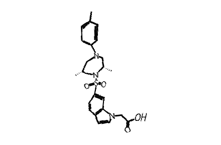 Cc1ccc(N2C[C@@H](C)N(S(=O)(=O)c3ccc4ccn(CC(=O)O)c4c3)[C@@H](C)C2)cc1